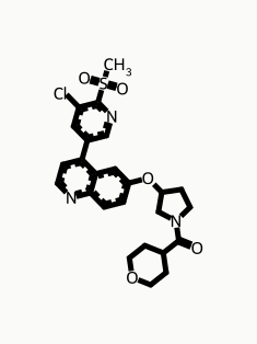 CS(=O)(=O)c1ncc(-c2ccnc3ccc(OC4CCN(C(=O)C5CCOCC5)C4)cc23)cc1Cl